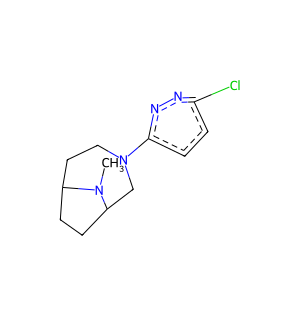 CN1C2CCC1CN(c1ccc(Cl)nn1)CC2